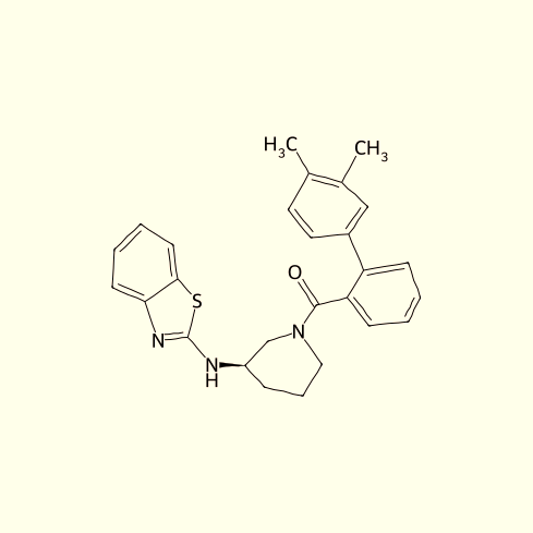 Cc1ccc(-c2ccccc2C(=O)N2CCC[C@@H](Nc3nc4ccccc4s3)C2)cc1C